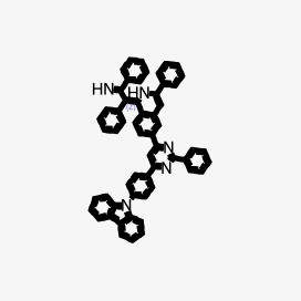 N=C(/C(=C1\NC(c2ccccc2)=Cc2cc(-c3cc(-c4ccc(-n5c6ccccc6c6ccccc65)cc4)nc(-c4ccccc4)n3)ccc21)c1ccccc1)c1ccccc1